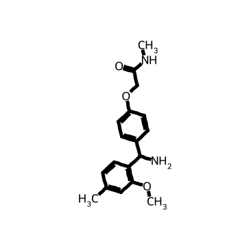 CNC(=O)COc1ccc(C(N)c2ccc(C)cc2OC)cc1